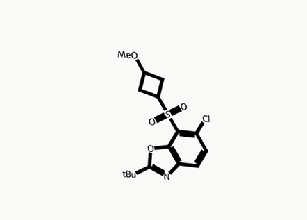 COC1CC(S(=O)(=O)c2c(Cl)ccc3nc(C(C)(C)C)oc23)C1